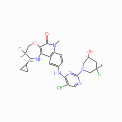 Cn1c(=O)c2c(c3cc(Nc4nc(N5C[C@@H](O)CC(F)(F)C5)ncc4Cl)ccc31)N[C@@H](C1CC1)C(F)(F)CO2